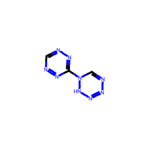 [C]1=NN=NNN1c1nncnn1